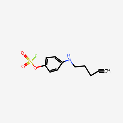 C#CCCCNc1ccc(OS(=O)(=O)F)cc1